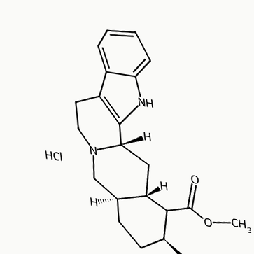 COC(=O)C1[C@H]2C[C@H]3c4[nH]c5ccccc5c4CCN3C[C@@H]2CC[C@@H]1O.Cl